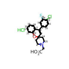 Cl.O=C(O)CN1CCC2(C=C(c3ccc(Cl)c(F)c3)c3ccccc3O2)CC1